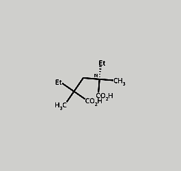 CCC(C)(C[C@](C)(CC)C(=O)O)C(=O)O